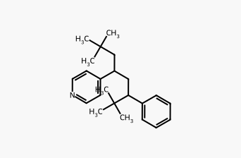 CC(C)(C)CC(CC(c1ccccc1)C(C)(C)C)c1ccncc1